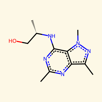 Cc1nc(N[C@@H](C)CO)c2c(n1)c(C)nn2C